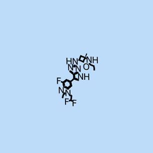 CCC(=O)N[C@]1(C)C[C@H](Nc2ncc3c(-c4cc(F)c5nc(C)n(CC(F)F)c5c4)c[nH]c3n2)C1